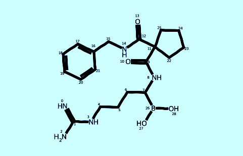 N=C(N)NCCCC(NC(=O)C1(C(=O)NCc2ccccc2)CCCC1)B(O)O